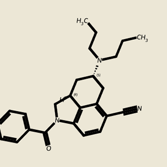 CCCN(CCC)[C@@H]1Cc2c(C#N)ccc3c2[C@@H](C1)CN3C(=O)c1ccccc1